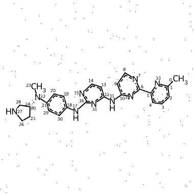 Cc1cccc(-c2nccc(Nc3ccnc(Nc4ccc(N(C)[C@@H]5CCNC5)cc4)n3)n2)n1